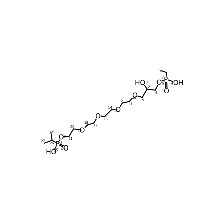 CCP(=O)(O)OCC(O)COCCOCCOCCOCCOP(=O)(O)C(C)C